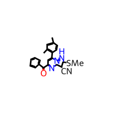 CSC1NN2C(c3ccc(C)cc3C)=CC(C(=O)c3ccccc3)=NC2C1C#N